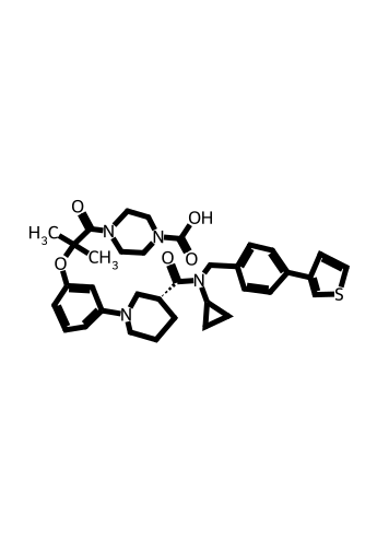 CC(C)(Oc1cccc(N2CCC[C@@H](C(=O)N(Cc3ccc(-c4ccsc4)cc3)C3CC3)C2)c1)C(=O)N1CCN(C(=O)O)CC1